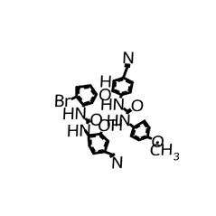 COc1ccc(NC(=O)Nc2ccc(C#N)cc2O)cc1.N#Cc1ccc(NC(=O)Nc2ccccc2Br)c(O)c1